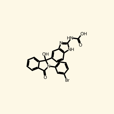 O=C(O)Nc1nc2cc(C3(O)c4ccccc4C(=O)N3c3cccc(Br)c3)ccc2[nH]1